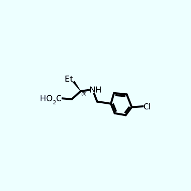 CC[C@H](CC(=O)O)NCc1ccc(Cl)cc1